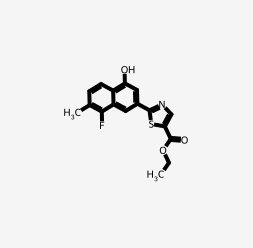 CCOC(=O)c1cnc(-c2cc(O)c3ccc(C)c(F)c3c2)s1